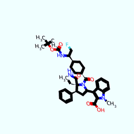 CC[C@@]1(C(N)=O)[C@H](c2ccccc2)CC(c2c(C(=O)O)n(C)c3ccccc23)N1C(=O)[C@H]1CC[C@H](C(CF)NC(=O)OC(C)(C)C)CC1